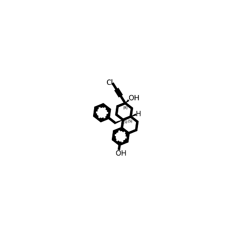 Oc1ccc2c(c1)CC[C@H]1C[C@@](O)(C#CCl)CC[C@@]21Cc1ccccc1